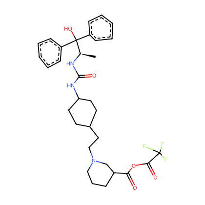 C[C@@H](NC(=O)NC1CCC(CCN2CCCC(C(=O)OC(=O)C(F)(F)F)C2)CC1)C(O)(c1ccccc1)c1ccccc1